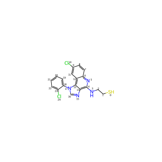 SCCNc1nc2ccc(Cl)cc2c2c1ncn2-c1ccccc1Cl